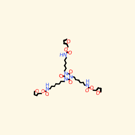 O=C(NCCCCCCCn1c(=O)n(CCCCCCNC(=O)OCc2ccco2)c(=O)n(CCCCCCNC(=O)OCc2ccco2)c1=O)OCc1ccco1